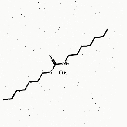 CCCCCCCNC(=S)SCCCCCCC.[Cu]